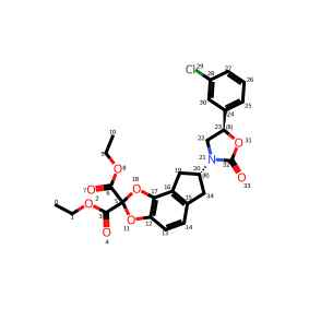 CCOC(=O)C1(C(=O)OCC)Oc2ccc3c(c2O1)C[C@H](N1C[C@@H](c2cccc(Cl)c2)OC1=O)C3